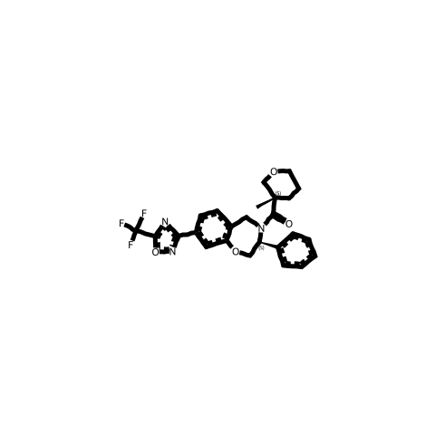 C[C@]1(C(=O)N2Cc3ccc(-c4noc(C(F)(F)F)n4)cc3OC[C@@H]2c2ccccc2)CCCOC1